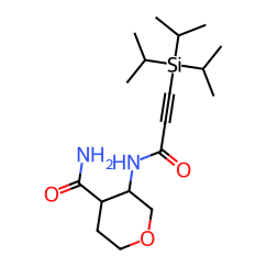 CC(C)[Si](C#CC(=O)NC1COCCC1C(N)=O)(C(C)C)C(C)C